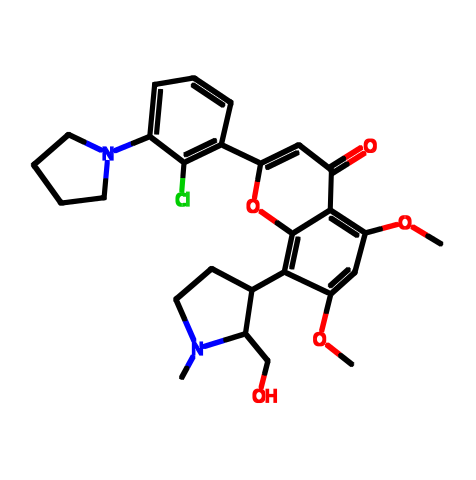 COc1cc(OC)c2c(=O)cc(-c3cccc(N4CCCC4)c3Cl)oc2c1C1CCN(C)C1CO